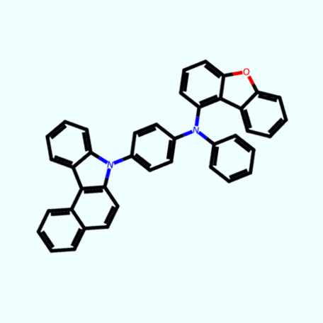 c1ccc(N(c2ccc(-n3c4ccccc4c4c5ccccc5ccc43)cc2)c2cccc3oc4ccccc4c23)cc1